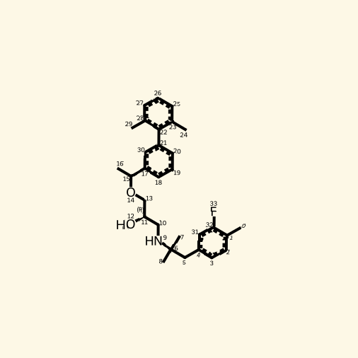 Cc1ccc(CC(C)(C)NC[C@@H](O)COC(C)c2cccc(-c3c(C)cccc3C)c2)cc1F